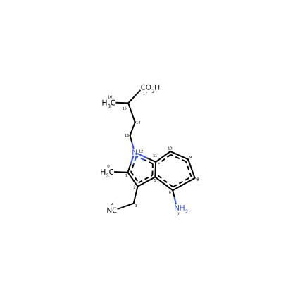 Cc1c(CC#N)c2c(N)cccc2n1CCC(C)C(=O)O